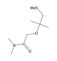 CSCC(C)(C)OCC(=O)N(C)C